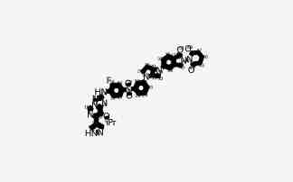 CC(C)Oc1c(-c2cn[nH]c2)ncn2nc(Nc3ccc(S(=O)(=O)c4cccc(N5CCC6C5CN6c5ccc6c(c5)CN(N5C(=O)CCCC5=O)C6=O)c4)cc3F)nc12